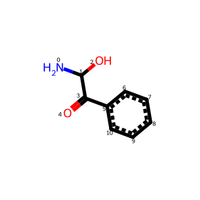 NC(O)C(=O)c1ccccc1